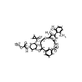 Cc1cccc(C)c1-c1nc2nc(c1C)OC[C@@H](CC1(C(F)(F)F)CC1)N([C@H]1CC[C@@H](NC(=O)OC(C)(C)C)CC1)C(=O)c1cccc(c1)S(=O)(=O)N2